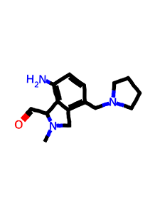 CN1Cc2c(CN3CCCC3)ccc(N)c2C1C=O